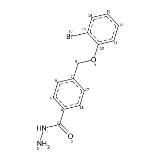 NNC(=O)c1ccc(COc2ccccc2Br)cc1